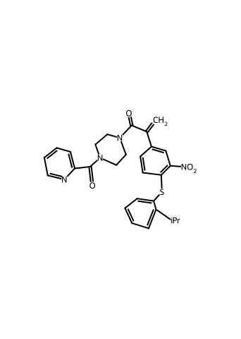 C=C(C(=O)N1CCN(C(=O)c2ccccn2)CC1)c1ccc(Sc2ccccc2C(C)C)c([N+](=O)[O-])c1